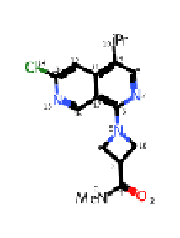 CNC(=O)C1CN(c2ncc(C(C)C)c3cc(Cl)ncc23)C1